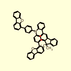 CC1(C)c2ccccc2-c2cc(-c3ccccc3N(c3ccc(-c4cccc5c4oc4ccccc45)cc3)c3ccc(-c4cccc5c4oc4ccccc45)cc3)ccc21